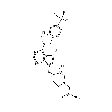 CCN(Cc1ccc(C(F)(F)F)cc1)c1ncnc2c1c(F)cn2C[C@@H]1CCN(CC(N)=O)C[C@H]1O